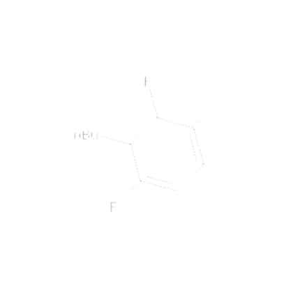 [CH2]CCCc1c(F)cccc1F